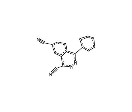 N#Cc1ccc2c(-c3ccccc3)nnc(C#N)c2c1